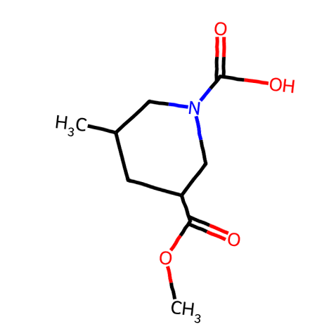 COC(=O)C1CC(C)CN(C(=O)O)C1